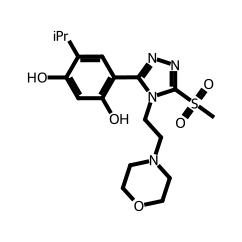 CC(C)c1cc(-c2nnc(S(C)(=O)=O)n2CCN2CCOCC2)c(O)cc1O